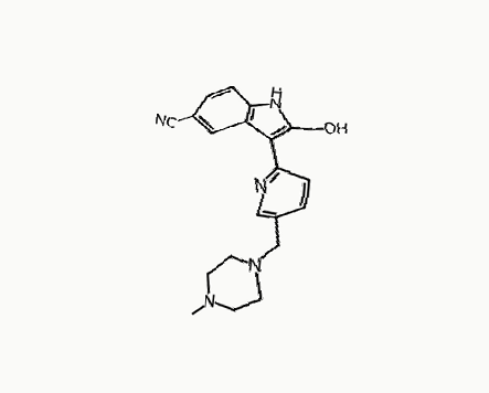 CN1CCN(Cc2ccc(-c3c(O)[nH]c4ccc(C#N)cc34)nc2)CC1